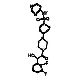 O=C(C(O)c1cccc(F)c1F)N1CCN(c2ccc(S(=O)(=O)Nc3ccncn3)cc2)CC1